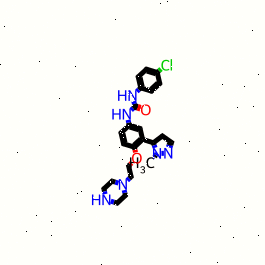 CN1N=CCC1c1cc(NC(=O)Nc2ccc(Cl)cc2)ccc1OCCN1CCNCC1